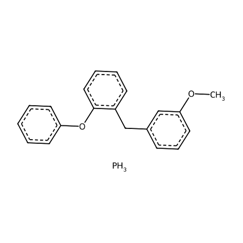 COc1cccc(Cc2ccccc2Oc2ccccc2)c1.P